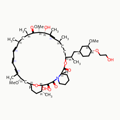 CO[C@H]1C[C@@H]2CC[C@@H](C)[C@@](O)(O2)C(=O)C(=O)N2CCCC[C@H]2C(=O)O[C@H]([C@H](C)C[C@@H]2CC[C@@H](OCCO)[C@H](OC)C2)CC[C@H](C)/C=C(\C)[C@@H](O)[C@@H](OC)C(=O)[C@H](C)C[C@H](C)/C=C/C=C/C=C/1C